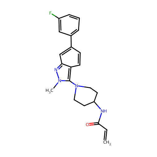 C=CC(=O)NC1CCN(c2c3ccc(-c4cccc(F)c4)cc3nn2C)CC1